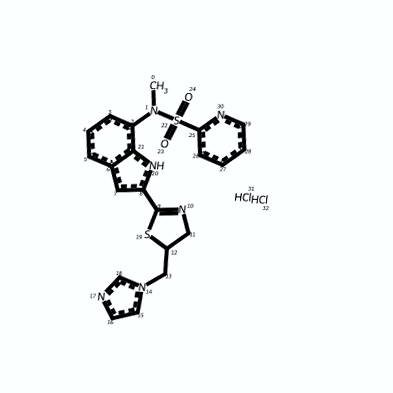 CN(c1cccc2cc(C3=NCC(Cn4ccnc4)S3)[nH]c12)S(=O)(=O)c1ccccn1.Cl.Cl